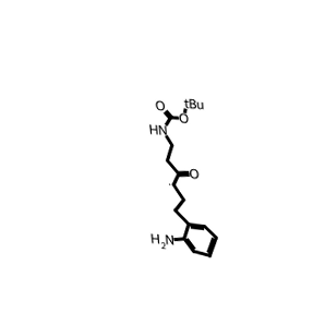 CC(C)(C)OC(=O)NCCC(=O)[CH]CCc1ccccc1N